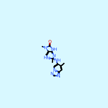 Cc1cc2ncnn2cc1NC1(C)N=c2[nH]c(=O)n(C)c2=CN1